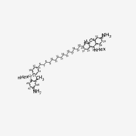 CCCCCCC(c1ccc(CCCCCCCCCCCCCCCc2ccc(C(CCCCCC)c3ccc(N)cc3C)cc2)cc1)c1ccc(N)cc1C